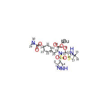 Cc1n[nH]cc1S(=O)(=O)N(C(=O)[C@H]1NC(C)(C)CS1)[C@@H](Cc1ccc(OC(=O)N(C)C)cc1)C(=O)OC(C)(C)C